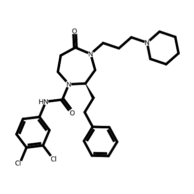 O=C1CCN(C(=O)Nc2ccc(Cl)c(Cl)c2)[C@H](CCc2ccccc2)CN1CCCN1CCCCC1